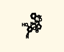 N#Cc1ccc(N=C2N(c3ccccc3Br)C(=O)C3CCS(=O)(=O)N23)c(O)c1